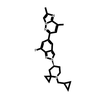 Cc1cn2nc(-c3cc(F)c4nn([C@H]5CCN(CC6CC6)C6(CC6)C5)cc4c3)cc(C)c2n1